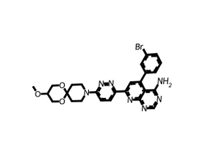 COC1COC2(CCN(c3ccc(-c4cc(-c5cccc(Br)c5)c5c(N)ncnc5n4)nn3)CC2)OC1